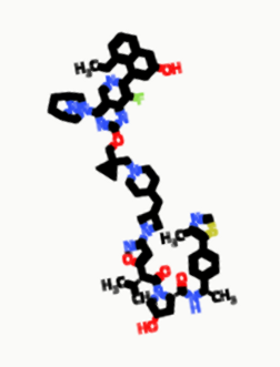 CCc1cccc2cc(O)cc(-c3ncc4c(N5CC6CCC(C5)N6)nc(OCC5(CN6CCC(CC7CN(c8cc([C@H](C(=O)N9C[C@H](O)C[C@H]9C(=O)N[C@@H](C)c9ccc(-c%10scnc%10C)cc9)C(C)C)on8)C7)CC6)CC5)nc4c3F)c12